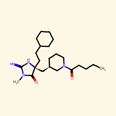 CCCCC(=O)N1CCC[C@H](C[C@]2(CCC3CCCCC3)NC(=N)N(C)C2=O)C1